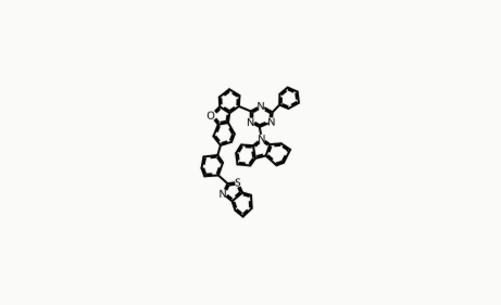 c1ccc(-c2nc(-c3cccc4oc5cc(-c6cccc(-c7nc8ccccc8s7)c6)ccc5c34)nc(-n3c4ccccc4c4ccccc43)n2)cc1